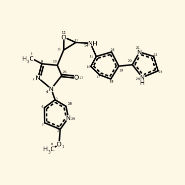 COc1ccc(N2N=C(C)C(C3OC3Nc3cccc(-c4ncc[nH]4)c3)C2=O)cn1